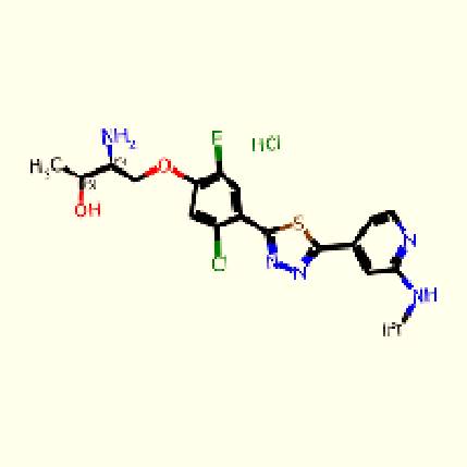 CC(C)Nc1cc(-c2nnc(-c3cc(F)c(OC[C@H](N)[C@H](C)O)cc3Cl)s2)ccn1.Cl